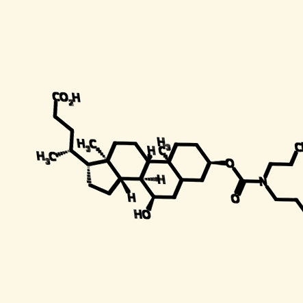 C[C@H](CCC(=O)O)[C@H]1CC[C@H]2[C@@H]3[C@H](O)CC4C[C@H](OC(=O)N(CCCl)CCCl)CC[C@]4(C)[C@H]3CC[C@]12C